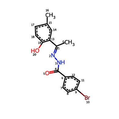 C/C(=N\NC(=O)c1ccc(Br)cc1)c1cc(C)ccc1O